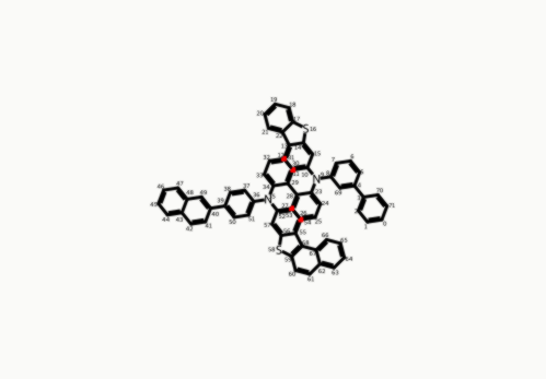 c1ccc(-c2cccc(N(c3ccc4c(c3)sc3ccccc34)c3ccccc3-c3ccccc3N(c3ccc(-c4ccc5ccccc5c4)cc3)c3ccc4c(c3)sc3ccc5ccccc5c34)c2)cc1